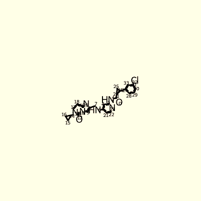 O=C(Nc1cc(NCc2cn3c(=O)n(C4CC4)ccc3n2)ccn1)C1CC1c1cccc(Cl)c1